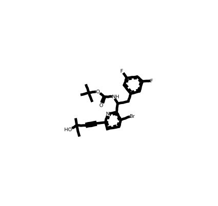 CC(C)(O)C#Cc1ccc(Br)c(C(Cc2cc(F)cc(F)c2)NC(=O)OC(C)(C)C)n1